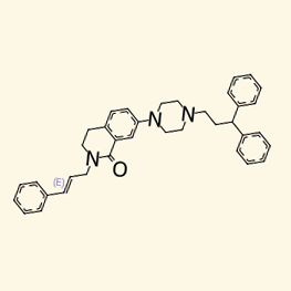 O=C1c2cc(N3CCN(CCC(c4ccccc4)c4ccccc4)CC3)ccc2CCN1C/C=C/c1ccccc1